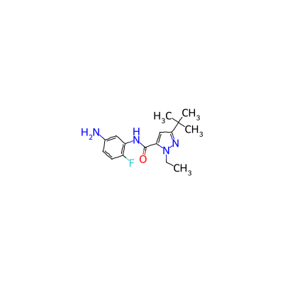 CCn1nc(C(C)(C)C)cc1C(=O)Nc1cc(N)ccc1F